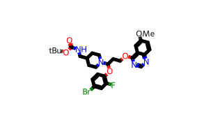 COc1ccc2ncnc(OCCC(Oc3ccc(Br)cc3F)N3CCC(CNC(=O)OC(C)(C)C)CC3)c2c1